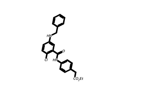 CCOC(=O)Cc1ccc(NC(=O)c2cc(NCc3ccccc3)ccc2Cl)cc1